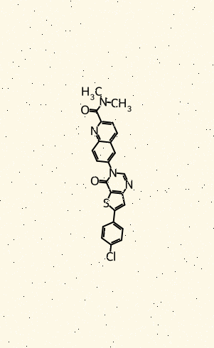 CN(C)C(=O)c1ccc2cc(-n3cnc4cc(-c5ccc(Cl)cc5)sc4c3=O)ccc2n1